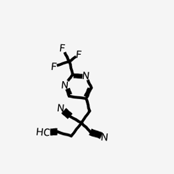 C#CCC(C#N)(C#N)Cc1cnc(C(F)(F)F)nc1